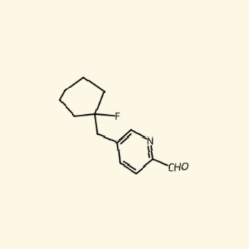 O=Cc1ccc(CC2(F)CCCCC2)cn1